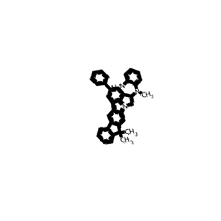 CN(c1ccccc1N)C1Cn2c3cc4c(cc3c3cc(-c5ccccc5)cc1c32)-c1ccccc1C4(C)C